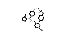 Cn1cncc1C(OCc1ccc(C#N)nc1-c1ccc2c(c1)OC(F)(F)O2)c1ccc(C#N)cc1